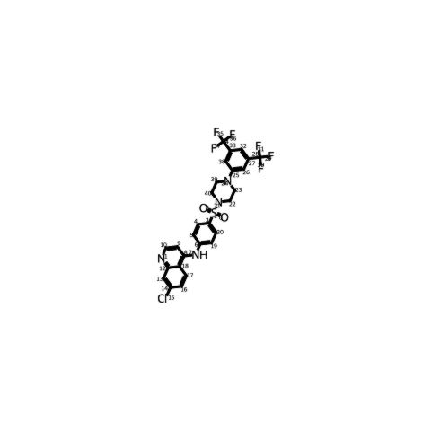 O=S(=O)(c1ccc(Nc2ccnc3cc(Cl)ccc23)cc1)N1CCN(c2cc(C(F)(F)F)cc(C(F)(F)F)c2)CC1